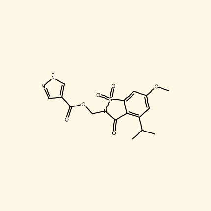 COc1cc(C(C)C)c2c(c1)S(=O)(=O)N(COC(=O)c1cn[nH]c1)C2=O